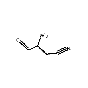 N#CCC(N)[C]=O